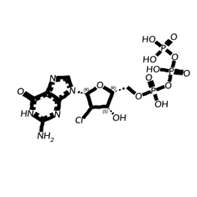 Nc1nc2c(ncn2[C@@H]2O[C@H](COP(=O)(O)OP(=O)(O)OP(=O)(O)O)[C@H](O)C2Cl)c(=O)[nH]1